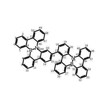 c1ccc2c(c1)B1c3ccccc3-c3ccc(-c4cccc5c4-c4ccccc4B4c6ccccc6-c6ccccc6N45)cc3N1c1ccccc1-2